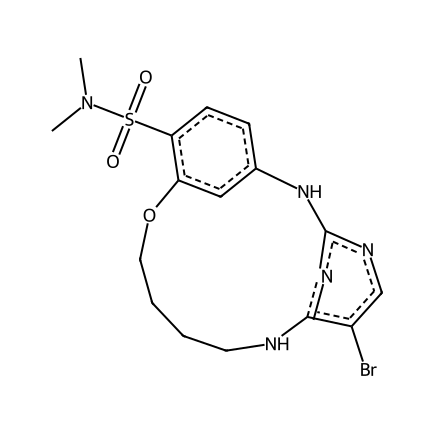 CN(C)S(=O)(=O)c1ccc2cc1OCCCCNc1nc(ncc1Br)N2